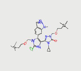 Cn1ncc2ccc(-c3c(-c4nn(COCC[Si](C)(C)C)c(=O)n4C4CC4)nc(Cl)n3COCC[Si](C)(C)C)cc21